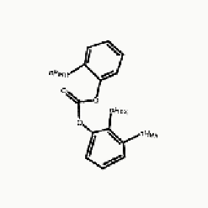 CCCCCCc1cccc(OC(=O)Oc2ccccc2CCCCC)c1CCCCCC